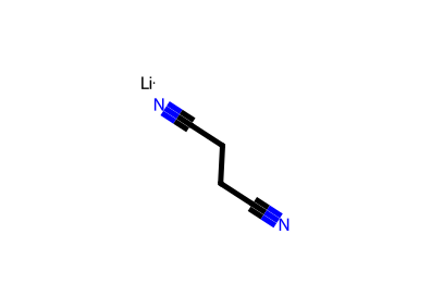 N#CCCC#N.[Li]